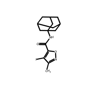 Cc1noc(C(=O)NC23CC4CC(CC(C4)C2)C3)c1I